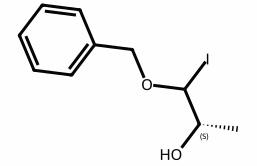 C[C@H](O)C(I)OCc1ccccc1